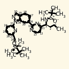 CCC[C@H](N[S+]([O-])C(C)(C)C)c1ccnc(-c2ccc3cnn(-c4cccc(CO[Si](C)(C)C(C)(C)C)n4)c3c2)n1